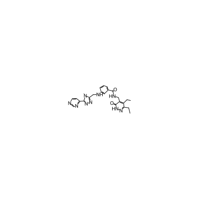 CCc1n[nH]c(=O)c(CNC(=O)c2cccc(NCc3nnc(-c4ccncn4)n3C)c2)c1CC